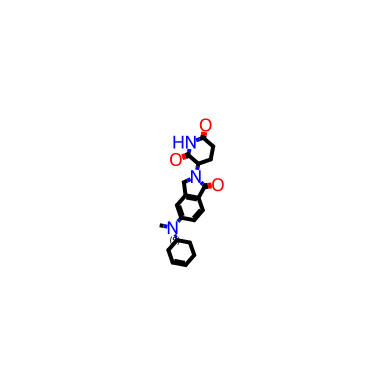 CN(c1ccc2c(c1)CN(C1CCC(=O)NC1=O)C2=O)[C@@H]1CC=CCC1